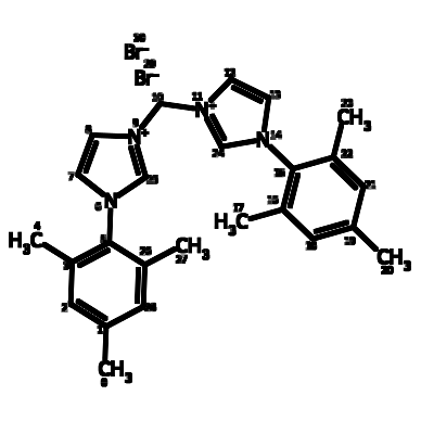 Cc1cc(C)c(-n2cc[n+](C[n+]3ccn(-c4c(C)cc(C)cc4C)c3)c2)c(C)c1.[Br-].[Br-]